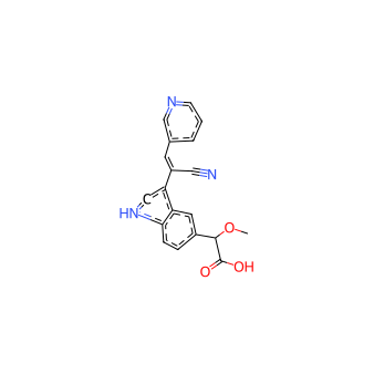 COC(C(=O)O)c1ccc2[nH]cc(/C(C#N)=C/c3cccnc3)c2c1